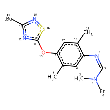 CCN(C)/C=N\c1cc(C)c(Oc2nc(C(C)(C)C)ns2)cc1C